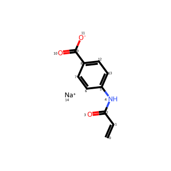 C=CC(=O)Nc1ccc(C(=O)[O-])cc1.[Na+]